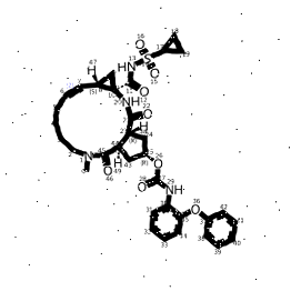 CN1CCCC/C=C\[C@@H]2C[C@@]2(C(=O)NS(=O)(=O)C2CC2)NC(=O)[C@@H]2C[C@@H](OC(=O)Nc3ccccc3Oc3ccccc3)C[C@H]2C1=O